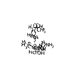 CC(C)N(C[C@H]1O[C@@H](n2cnc3c(N)ncnc32)[C@H](O)[C@@H]1O)[C@]1(O)C[C@H](CCc2nc3cc(C(C)(C)C)ccc3[nH]2)C1